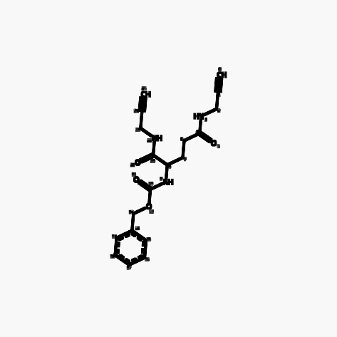 C#CCNC(=O)CCC(NC(=O)OCc1ccccc1)C(=O)NCC#C